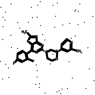 Cc1cc([C@@H]2C[C@@H](c3nc(-c4ccc(F)cc4F)c4sc(C)nc4n3)CCO2)ccn1